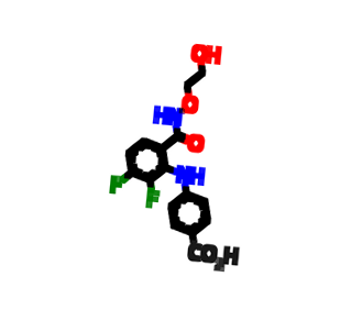 O=C(O)c1ccc(Nc2c(C(=O)NOCCO)ccc(F)c2F)cc1